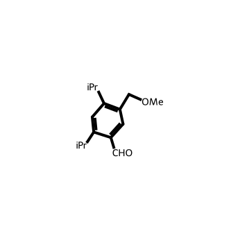 COCc1cc(C=O)c(C(C)C)cc1C(C)C